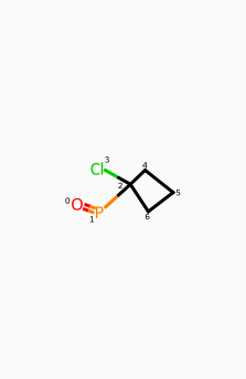 O=PC1(Cl)CCC1